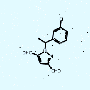 CC(c1cccc(Cl)c1)n1nc(C=O)cc1C=O